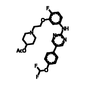 CC(=O)OC1CCN(CCOc2cc(Nc3ncc(-c4ccc(OC(F)F)cc4)cn3)ccc2F)CC1